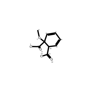 COC1(C(=O)Cl)C=CC=CC1C(=O)Cl